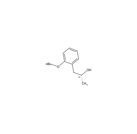 CCCCOc1ccccc1C[C@@H](C)O